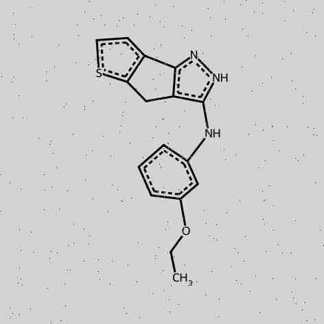 CCOc1cccc(Nc2[nH]nc3c2Cc2sccc2-3)c1